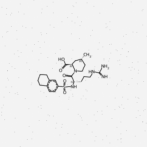 C[C@@H]1CCN(C(=O)[C@H](CCCNC(=N)N)NS(=O)(=O)c2ccc3c(c2)CCCC3)[C@@H](C(=O)O)C1